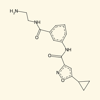 NCCNC(=O)c1cccc(NC(=O)c2cc(C3CC3)on2)c1